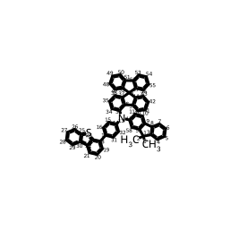 CC1(C)c2ccccc2-c2ccc(N(c3ccc(-c4cccc5c4sc4ccccc45)cc3)c3cccc4c3-c3ccccc3C43c4ccccc4-c4ccccc43)cc21